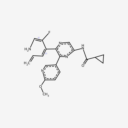 C=C/C=C(\C(F)=C/N)c1ncc(NC(=O)C2CC2)nc1-c1ccc(OC)nc1